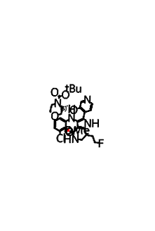 COc1c(Cl)cccc1Nc1c(-c2ccncc2OC[C@@H]2COCCN2C(=O)OC(C)(C)C)[nH]c2c1C(=O)NCC2CCF